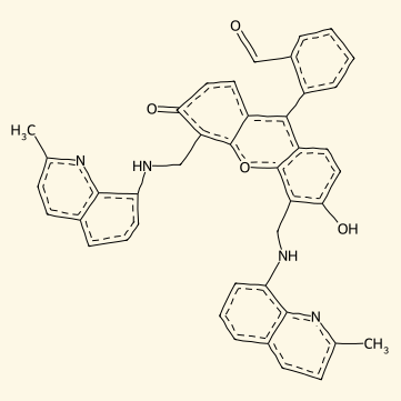 Cc1ccc2cccc(NCc3c4oc5c(CNc6cccc7ccc(C)nc67)c(O)ccc5c(-c5ccccc5C=O)c-4ccc3=O)c2n1